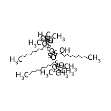 CCCCCCCCCCC(O)CSP(=S)(OCC(CCCCCCCCCC)SP(=S)(OC(C)C)OC(C)C)OCC(CCCCCCCCCC)SP(=S)(OC(C)C)OC(C)C